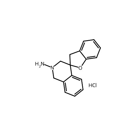 Cl.NN1Cc2ccccc2C2(Cc3ccccc3O2)C1